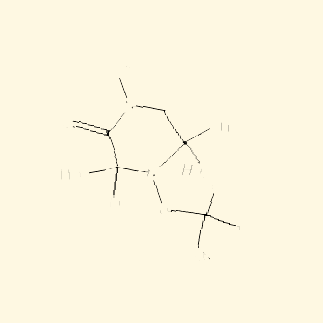 CCC1(C)C(=O)N(C(C)C)CC(C)(C)N1OC(C)(C)C#N